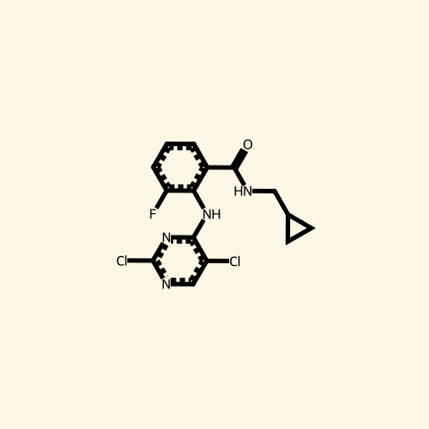 O=C(NCC1CC1)c1cccc(F)c1Nc1nc(Cl)ncc1Cl